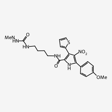 CNNC(=O)NCCCCNC(=O)c1[nH]c(-c2ccc(OC)cc2)c([N+](=O)[O-])c1-c1cccs1